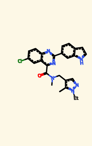 CCn1ncc(CN(C)C(=O)c2nc(-c3ccc4cc[nH]c4c3)nc3ccc(Cl)cc23)c1C